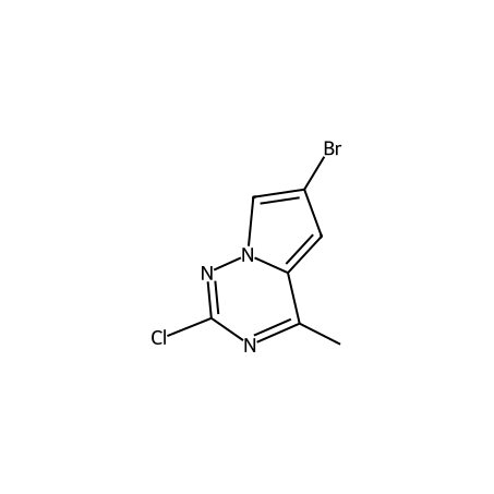 Cc1nc(Cl)nn2cc(Br)cc12